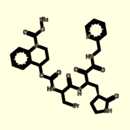 CC(C)CC(NC(=O)OC1CCN(C(=O)OC(C)(C)C)c2ccccc21)C(=O)NC(C[C@@H]1CCNC1=O)C(=O)C(=O)NCc1ccccn1